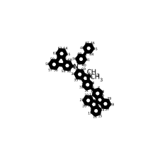 CC1(C)c2cc(-c3ccc4c(c3)C3(c5ccccc5-c5ccccc53)c3ccccc3-4)ccc2-c2ccc(N(c3ccc(-c4ccccc4)cc3)c3ccc4c5ccccc5c5ccccc5c4c3)cc21